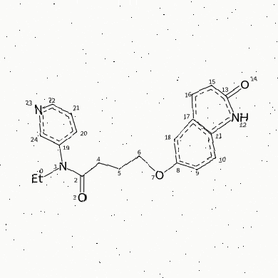 CCN(C(=O)CCCOc1ccc2[nH]c(=O)ccc2c1)c1cccnc1